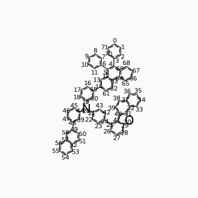 c1ccc(-c2c(-c3ccccc3)c3cc(-c4cccc(N(c5ccc(-c6cccc7oc8c9ccccc9ccc8c67)cc5)c5cccc(-c6ccc7ccccc7c6)c5)c4)ccc3c3ccccc23)cc1